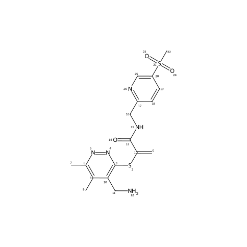 C=C(Sc1nnc(C)c(C)c1CN)C(=O)NCc1ccc(S(C)(=O)=O)cn1